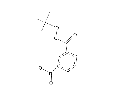 CC(C)(C)OOC(=O)c1cccc([N+](=O)[O-])c1